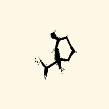 CC1CCCC(C(N)=O)(C(C)C)C1